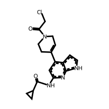 O=C(Nc1cc(C2=CCN(C(=O)CCl)CC2)c2cc[nH]c2n1)C1CC1